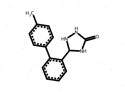 Cc1ccc(-c2ccccc2C2NNC(=O)N2)cc1